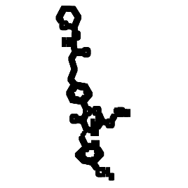 Cc1ccc(C[C@@H](NC(=O)OC(C)(C)C)C(=O)Oc2ccc(CCCC(=O)NOC3CCCCO3)cc2)nc1